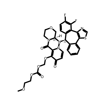 COCCOC(=O)OCOc1c2n(ccc1=O)N([C@@H]1c3ccccc3-c3scnc3-c3c1ccc(F)c3F)[C@@H]1COCCN1C2=O